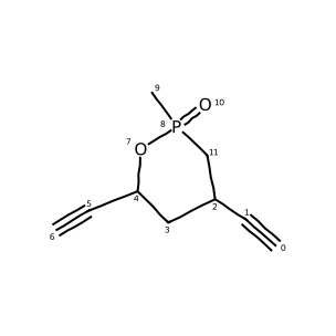 C#CC1CC(C#C)OP(C)(=O)C1